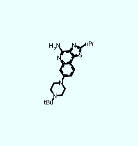 CCCc1nc2c(N)nc3cc(N4CCN(C(C)(C)C)CC4)ccc3c2s1